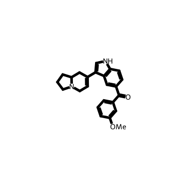 COc1cccc(C(=O)c2ccc3[nH]cc(C4=CCN5CCCC5C4)c3c2)c1